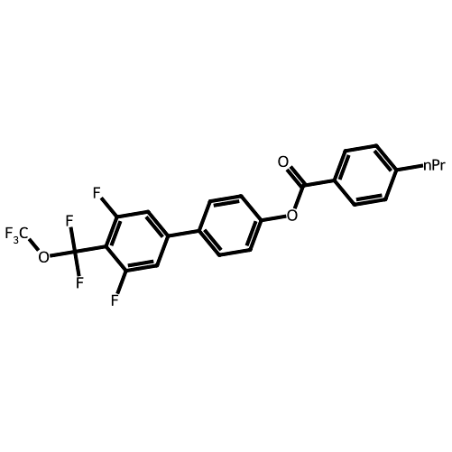 CCCc1ccc(C(=O)Oc2ccc(-c3cc(F)c(C(F)(F)OC(F)(F)F)c(F)c3)cc2)cc1